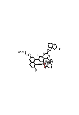 COCOc1cc(-c2cc3c4c(nc(OC[C@@]56CCCN5C[C@H](F)C6)nc4c2F)N(C)[C@@H]2CCC[C@@H]2O3)c2c(C#C[Si](C(C)C)(C(C)C)C(C)C)c(F)ccc2c1